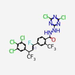 O=C(NNc1nc(Cl)nc(Cl)n1)c1ccc(/C(F)=C/C(c2cc(Cl)c(Cl)c(Cl)c2)C(F)(F)F)cc1C(F)(F)F